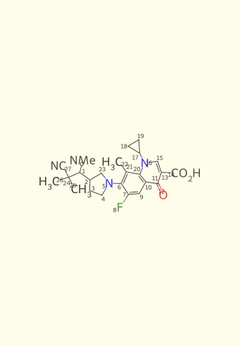 CNC(C1CCN(c2c(F)cc3c(=O)c(C(=O)O)cn(C4CC4)c3c2C)C1)C(C)(C)C#N